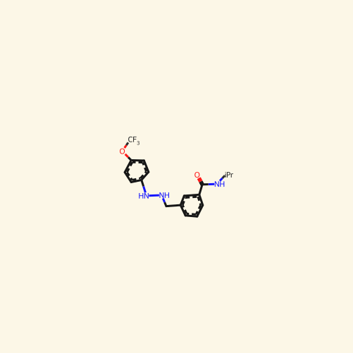 CC(C)NC(=O)c1cccc(CNNc2ccc(OC(F)(F)F)cc2)c1